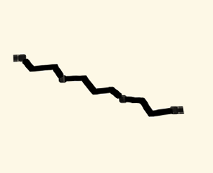 OCCOCCCOCCO